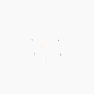 Br[PH](Br)(Br)[PH](Br)(Br)Br